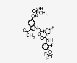 CC(=O)c1cn(CC(=O)N2C[C@H](F)C[C@H]2C(=O)Nc2cccc(OC(F)(F)F)c2F)c2cc(OOP(C)(=O)O)ccc12